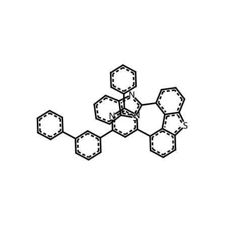 c1ccc(-c2cccc(-c3cc(-c4cccc5sc6cccc(-c7nc8ccccc8s7)c6c45)nc(-c4ccccc4)n3)c2)cc1